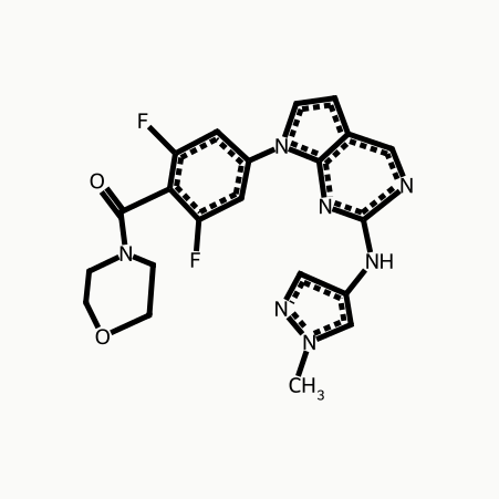 Cn1cc(Nc2ncc3ccn(-c4cc(F)c(C(=O)N5CCOCC5)c(F)c4)c3n2)cn1